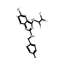 Fc1ccc(CNc2nc(NC(F)C(F)F)c3cc(Br)ccc3n2)cc1